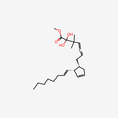 CCCCCCC=C[C@H]1C=CC[C@@H]1CC=C=CC(C)(C)C(O)(O)C(=O)OC